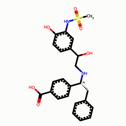 CS(=O)(=O)Nc1cc(C(O)CN[C@H](Cc2ccccc2)c2ccc(C(=O)O)cc2)ccc1O